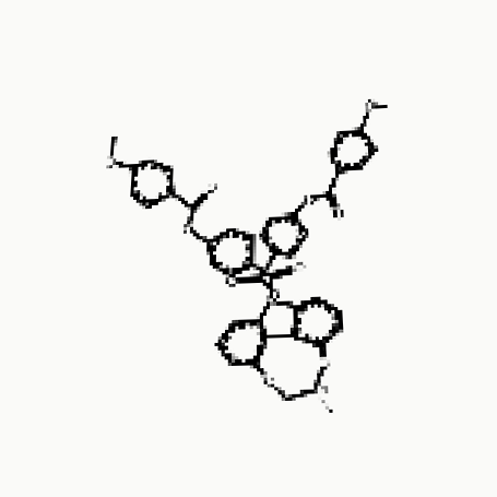 COc1ccc(C(=O)Oc2ccc(C(=O)Oc3cccc4c3-c3c(OC(=O)c5ccc(OC(=O)c6ccc(OC)cc6)cc5)cccc3O[C@H](C)CO4)cc2)cc1